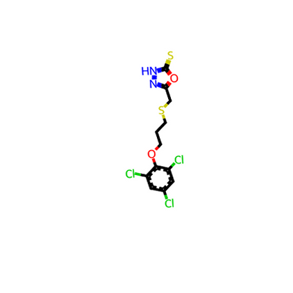 S=c1[nH]nc(CSCCCOc2c(Cl)cc(Cl)cc2Cl)o1